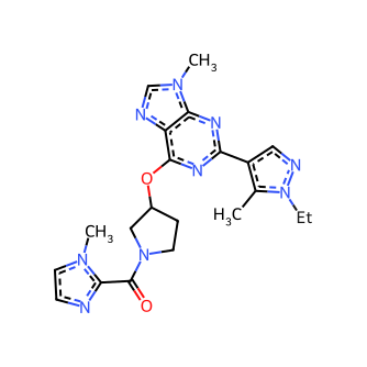 CCn1ncc(-c2nc(OC3CCN(C(=O)c4nccn4C)C3)c3ncn(C)c3n2)c1C